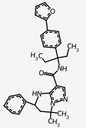 CCC(CC)(NC(=O)c1cnn2c1NC(c1ccccc1)CC2(C)C)c1ccc(-c2ccco2)cc1